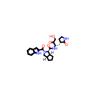 O=C1NCC[C@H]1C[C@H](NC(=O)[C@H]1[C@H]2CCC[C@H]2CN1C(=O)c1cc2ccccc2[nH]1)C(=O)CO